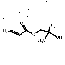 [CH2]C(C)(O)COC(=O)C=C